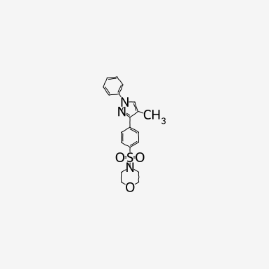 Cc1cn(-c2ccccc2)nc1-c1ccc(S(=O)(=O)N2CCOCC2)cc1